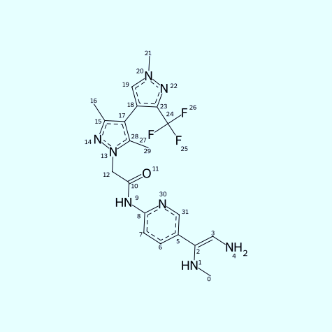 CN/C(=C\N)c1ccc(NC(=O)Cn2nc(C)c(-c3cn(C)nc3C(F)(F)F)c2C)nc1